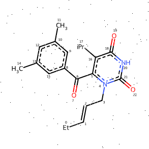 CCC=CCn1c(C(=O)c2cc(C)cc(C)c2)c(C(C)C)c(=O)[nH]c1=O